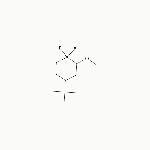 COC1CC(C(C)(C)C)CCC1(F)F